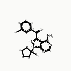 Nc1ncnc2c1c(C(=O)c1cccc(F)c1)nn2C1(I)CCCC1